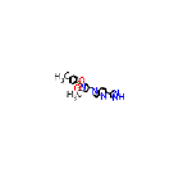 Cc1ccc(S(=O)(=O)N2C[C@@H](Cn3ccc4nc(-c5cn[nH]c5)ccc43)C[C@@H]2C)cc1